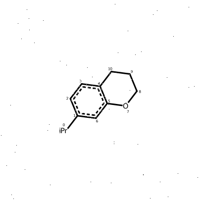 CC(C)c1ccc2c(c1)OCCC2